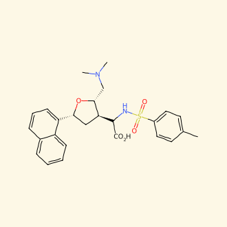 Cc1ccc(S(=O)(=O)NC(C(=O)O)[C@H]2C[C@H](c3cccc4ccccc34)O[C@@H]2CN(C)C)cc1